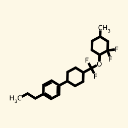 CCCc1ccc(C2CCC(C(F)(F)OC3CCC(C)CC3(F)F)CC2)cc1